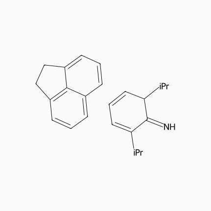 CC(C)C1=CC=CC(C(C)C)C1=N.c1cc2c3c(cccc3c1)CC2